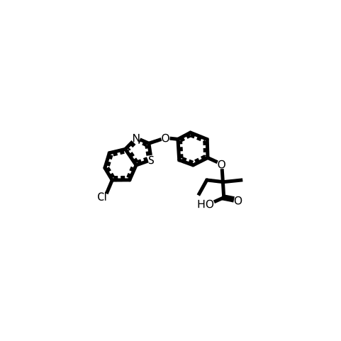 CCC(C)(Oc1ccc(Oc2nc3ccc(Cl)cc3s2)cc1)C(=O)O